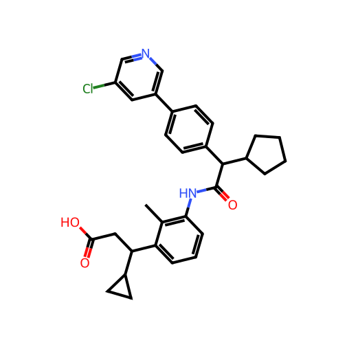 Cc1c(NC(=O)C(c2ccc(-c3cncc(Cl)c3)cc2)C2CCCC2)cccc1C(CC(=O)O)C1CC1